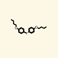 CCCCOc1ccc([I+]c2ccc(OCCCC)cc2)cc1